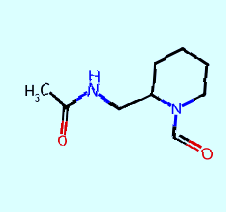 CC(=O)NCC1CCCCN1C=O